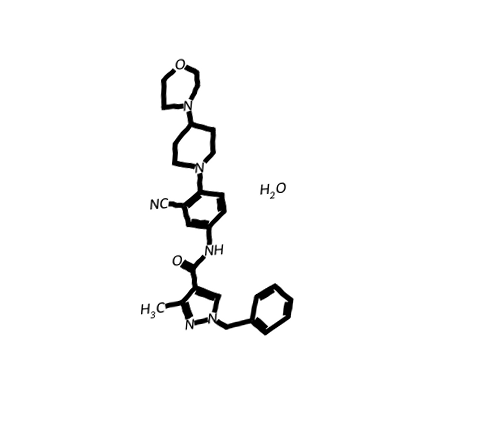 Cc1nn(Cc2ccccc2)cc1C(=O)Nc1ccc(N2CCC(N3CCOCC3)CC2)c(C#N)c1.O